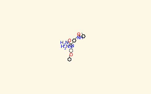 Cc1ccccc1C(=O)NCc1ccc(-c2nn(C3CCC(OCc4ccccc4)CC3)c(N)c2C(N)=O)cc1